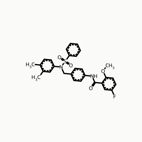 COc1ccc(F)cc1C(=O)Nc1ccc(CN(c2ccc(C)c(C)c2)S(=O)(=O)c2ccccc2)cc1